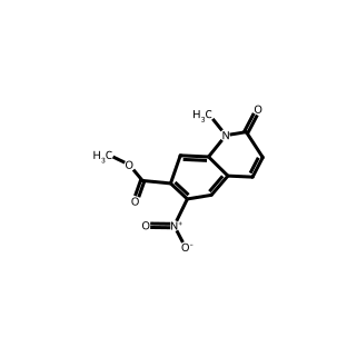 COC(=O)c1cc2c(ccc(=O)n2C)cc1[N+](=O)[O-]